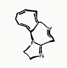 C1=Nc2ccccc2N2CCN=C12